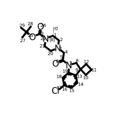 C[C@@H]1CN(CC(=O)N2CC3(CCC3)c3ccc(Cl)cc32)CCN1C(=O)OC(C)(C)C